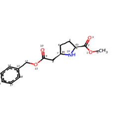 COC(=O)[C@@H]1CC[C@H](CC(=O)OCc2ccccc2)N1